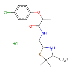 CC(Oc1ccc(Cl)cc1)C(=O)NCC1NC(C(=O)O)C(C)(C)S1.Cl